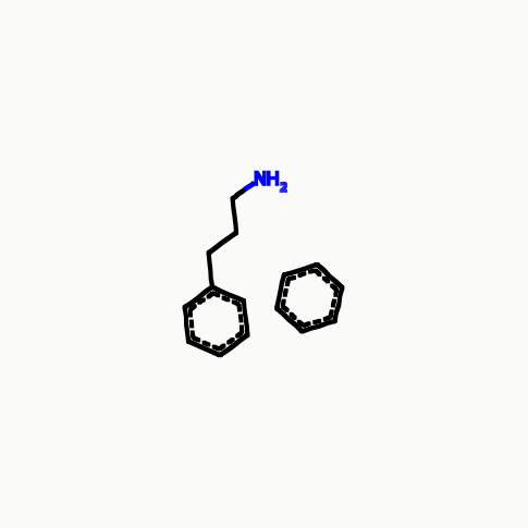 NCCCc1ccccc1.c1ccccc1